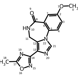 COc1ccc2c(c1)C(=O)NCc1c(-c3noc(C)n3)ncn1-2